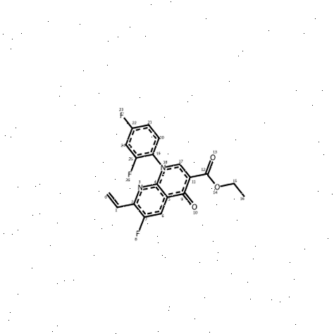 C=Cc1nc2c(cc1F)c(=O)c(C(=O)OCC)cn2-c1ccc(F)cc1F